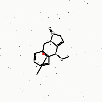 CON1C2=CC[N+](=O)N2CC23C=NC=CC12CC(C)N=C3